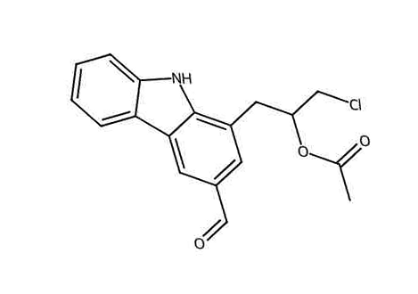 CC(=O)OC(CCl)Cc1cc(C=O)cc2c1[nH]c1ccccc12